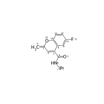 C=C1C=C(C(=O)NC(C)C)c2cc(F)ccc2O1